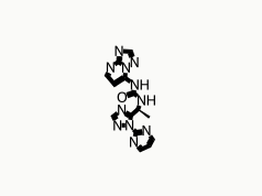 C[C@H](NC(=O)Nc1ccnc2ncnn12)c1ncnn1-c1ncccn1